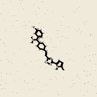 Cc1ccc(-c2noc(C=CC3CCC(C(c4cccc(F)c4)N(C)C)CC3)n2)n1C